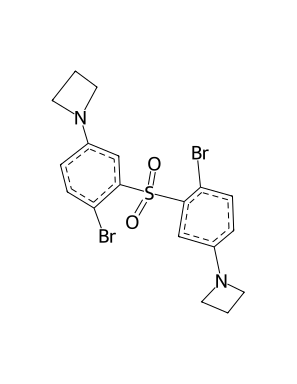 O=S(=O)(c1cc(N2CCC2)ccc1Br)c1cc(N2CCC2)ccc1Br